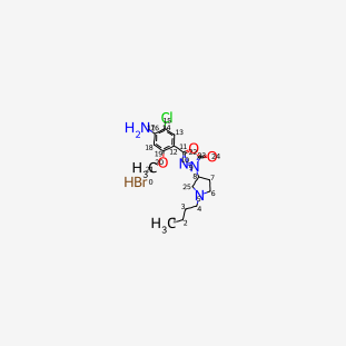 Br.CCCCN1CCC(n2nc(-c3cc(Cl)c(N)cc3OC)oc2=O)C1